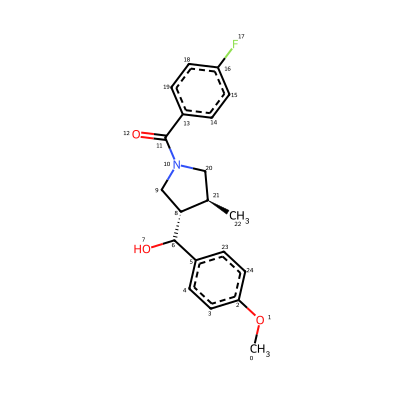 COc1ccc(C(O)[C@@H]2CN(C(=O)c3ccc(F)cc3)C[C@H]2C)cc1